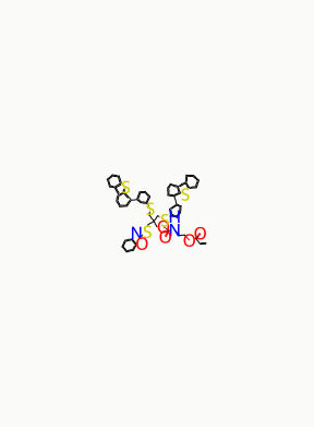 C=CC(=O)OCCNC(=O)OCC(CSc1cccc(-c2cccc3c2sc2ccccc23)c1)(CSc1cccc(-c2cccc3c2sc2ccccc23)c1)CSc1nc2ccccc2o1